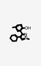 Cc1ccc(O)c(-c2nn(C)cc2C2=CCCCC2)c1